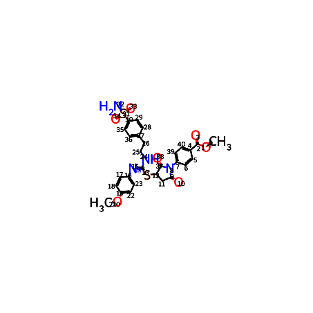 COC(=O)c1ccc(N2C(=O)CC(S/C(=N\c3ccc(OC)cc3)NCCc3ccc(S(N)(=O)=O)cc3)C2=O)cc1